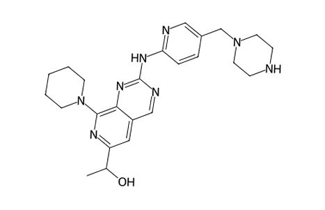 CC(O)c1cc2cnc(Nc3ccc(CN4CCNCC4)cn3)nc2c(N2CCCCC2)n1